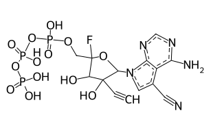 C#CC1(O)C(n2cc(C#N)c3c(N)ncnc32)OC(F)(COP(=O)(O)OP(=O)(O)OP(=O)(O)O)C1O